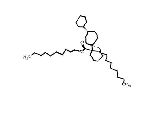 CCCCCCCCCCOC(=O)C1([C@]2(CCCCCCCCCC)CC[C@H](C3CCCCC3)CC2)CCCCC1